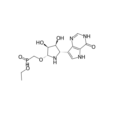 CCO[PH](=O)CO[C@H]1N[C@@H](c2c[nH]c3c(=O)[nH]cnc23)[C@H](O)[C@@H]1O